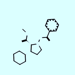 COC(=O)[C@@H]1[C@@H](C2CCCCC2)CCN1OC(=O)c1ccccc1